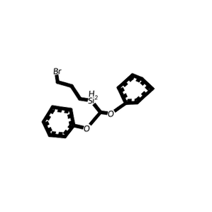 BrCCC[SiH2]C(Oc1ccccc1)Oc1ccccc1